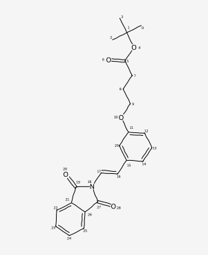 CC(C)(C)OC(=O)CCCOc1cccc(C=CN2C(=O)c3ccccc3C2=O)c1